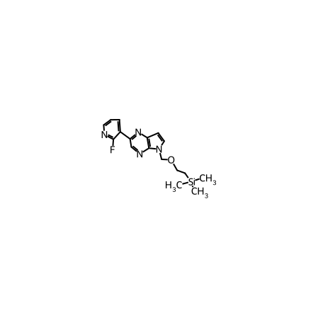 C[Si](C)(C)CCOCn1ccc2nc(-c3cccnc3F)cnc21